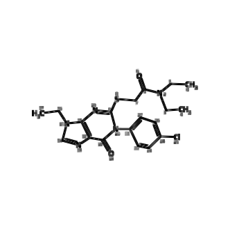 CCN(CC)C(=O)CSc1nc2c(ncn2CC)c(=O)n1-c1ccc(Cl)cc1